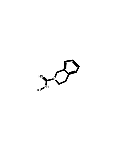 N=C(NO)N1CCc2ccccc2C1